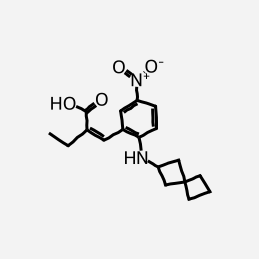 CCC(=Cc1cc([N+](=O)[O-])ccc1NC1CC2(CCC2)C1)C(=O)O